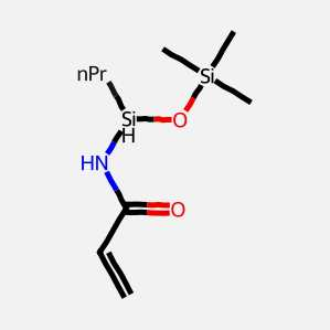 C=CC(=O)N[SiH](CCC)O[Si](C)(C)C